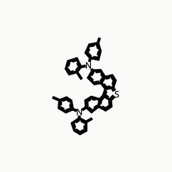 Cc1ccc(N(c2ccc3c(ccc4sc5ccc6cc(N(c7ccc(C)cc7)c7ccccc7C)ccc6c5c43)c2)c2ccccc2C)cc1